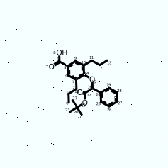 CCCc1cc(C(=O)O)cc(CCC)c1OC(C(=O)OC(C)(C)C)c1ccccc1